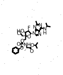 Cc1nc(NC(C)C)c2ncn([C@@H]3O[C@](CCl)(CO[P@@](=O)(N[C@@H](C)C(=O)OC(C)C)Oc4ccccc4)[C@@H](O)[C@@H]3F)c2n1